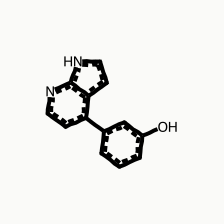 Oc1cccc(-c2ccnc3[nH]ccc23)c1